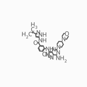 C=C(C)c1cc(NC(=O)c2ccc(C)c(Nc3ncnc4c(N)nc(N5CCC(N6CCOCC6)CC5)nc34)c2)[nH]n1